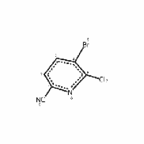 N#Cc1[c]cc(Br)c(Cl)n1